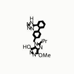 COc1nnc(O)c2c1nc(C(C)C)n2Cc1ccc(-c2ccccc2-c2nnn[nH]2)cc1